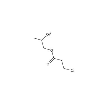 CC(O)COC(=O)CCCl